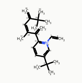 C=C[n+]1cc(C(C)(C)C)ccc1C(=C)/C(C)=C\C(=C)C(C)(C)C